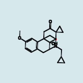 COc1ccc2c(c1)C13CCN(CC4CC4)C(C2)C1(O)CC1(CC1)C(=O)C3